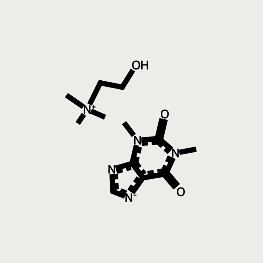 C[N+](C)(C)CCO.Cn1c(=O)c2[n-]cnc2n(C)c1=O